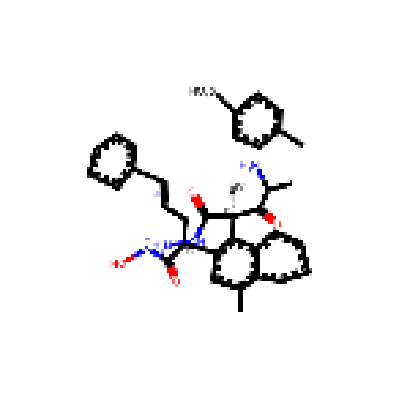 CCC[C@](C(=O)NN)(C(=O)C(C)N)c1c([C@H](C/C=C/c2ccccc2)C(=O)NO)cc(C)c2ccccc12.Cc1ccc(S(=O)(=O)O)cc1